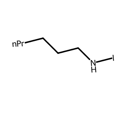 CCCCCCNI